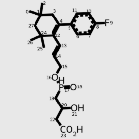 CC1(C)CC(c2ccc(F)cc2)=C(C=CCO[PH](=O)CC(O)CC(=O)O)C(C)(C)C1